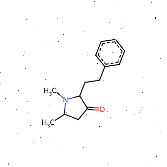 CC1CC(=O)C(CCc2ccccc2)N1C